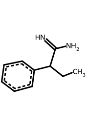 CCC(C(=N)N)c1ccccc1